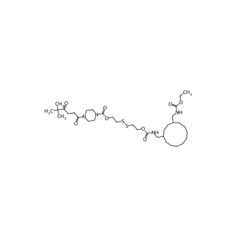 CCOC(=O)NCC1CCCCCCCCC(CNC(=O)OCCSSCCOC(=O)N2CCN(C(=O)CCC(=O)C(C)(C)C)CC2)CC1